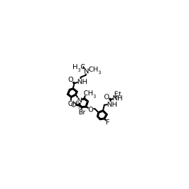 CCNC(=O)NCc1cc(F)ccc1COc1cc(C)n(-c2cc(C(=O)NCCN(C)C)ccc2C)c(=O)c1Br